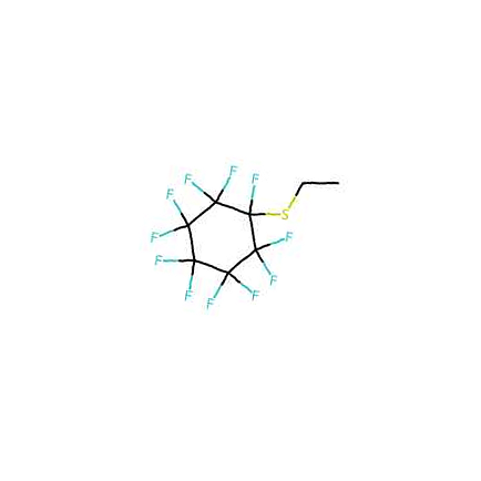 CCSC1(F)C(F)(F)C(F)(F)C(F)(F)C(F)(F)C1(F)F